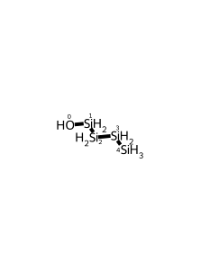 O[SiH2][SiH2][SiH2][SiH3]